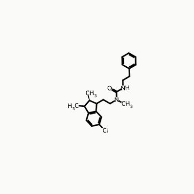 CC1c2ccc(Cl)cc2C(CCN(C)C(=O)NCCc2ccccc2)[C@@H]1C